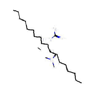 CC(=O)O.CCCCCCCCCCCCCCCCCC.CN(C)C.N=C(N)N.P